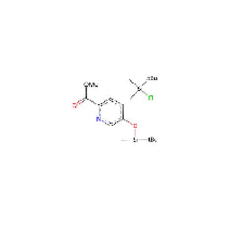 CC(C)(C)[Si](C)(C)Cl.COC(=O)c1ccc(O[Si](C)(C)C(C)(C)C)cn1